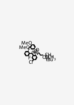 COc1ccc(S(=O)(=O)N(CCCO[Si](C)(C)C(C)(C)C)c2ccc(Cl)cc2Cc2c(F)cccc2F)cc1OC